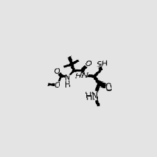 CNC(=O)C(CS)NC(=O)C(NC(=O)OC)C(C)(C)C